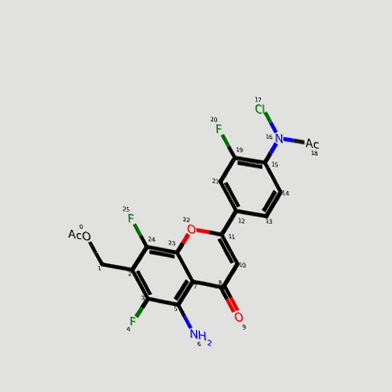 CC(=O)OCc1c(F)c(N)c2c(=O)cc(-c3ccc(N(Cl)C(C)=O)c(F)c3)oc2c1F